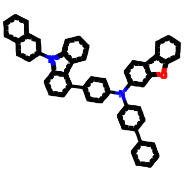 c1ccc(-c2ccc(N(c3ccc(-c4cccc5c4c4ccccc4n5-c4ccc5ccccc5c4)cc3)c3ccc4c(c3)oc3ccccc34)cc2)cc1